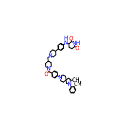 C[C@H]1CC2(CCN(c3ccc(C(=O)N4CCC(CN5CCC(c6ccc(NC7CCC(=O)NC7=O)cc6)CC5)CC4)cc3)CC2)CN1c1ccccc1C#N